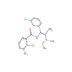 CCC(C)CN(C)C(C)C(NC(=O)c1cccc(C(F)(F)F)c1Cl)c1cccc(Cl)c1